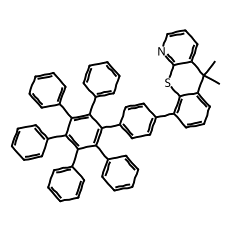 CC1(C)c2cccnc2Sc2c(-c3ccc(-c4c(-c5ccccc5)c(-c5ccccc5)c(-c5ccccc5)c(-c5ccccc5)c4-c4ccccc4)cc3)cccc21